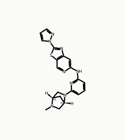 CN1C[C@@H]2C[C@H]1CN2c1cccc(Nc2cc3nc(-n4cccn4)sc3cn2)n1